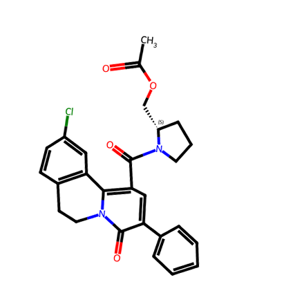 CC(=O)OC[C@@H]1CCCN1C(=O)c1cc(-c2ccccc2)c(=O)n2c1-c1cc(Cl)ccc1CC2